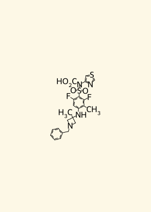 Cc1c(NC2(C)CN(Cc3ccccc3)C2)cc(F)c(S(=O)(=O)N(C(=O)O)c2cscn2)c1F